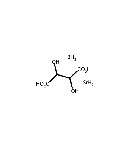 B.O=C(O)C(O)C(O)C(=O)O.[SrH2]